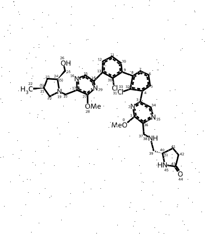 COc1nc(-c2cccc(-c3cccc(-c4cnc(CN5C[C@@H](C)C[C@H]5CO)c(OC)n4)c3Cl)c2Cl)cnc1CNC[C@@H]1CCC(=O)N1